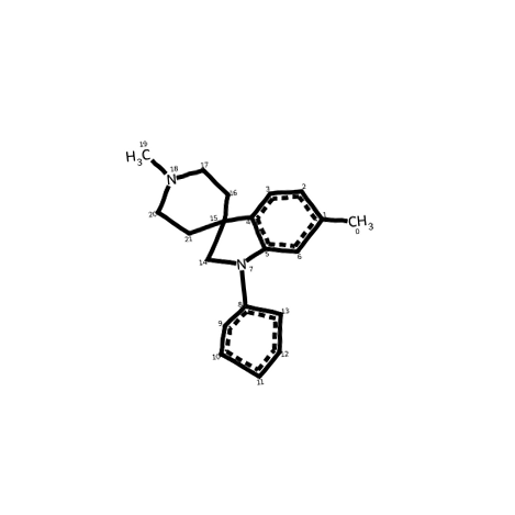 Cc1ccc2c(c1)N(c1ccccc1)CC21CCN(C)CC1